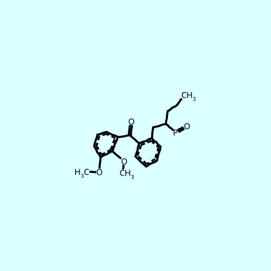 CCCC(Cc1ccccc1C(=O)c1cccc(OC)c1OC)P=O